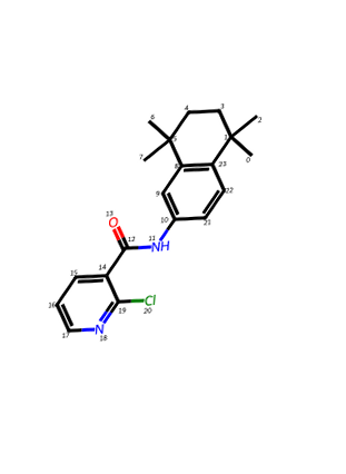 CC1(C)CCC(C)(C)c2cc(NC(=O)c3cccnc3Cl)ccc21